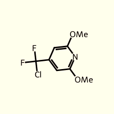 COc1cc(C(F)(F)Cl)cc(OC)n1